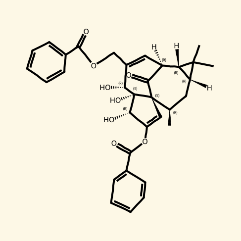 C[C@@H]1C[C@@H]2[C@H]([C@@H]3C=C(COC(=O)c4ccccc4)[C@@H](O)[C@]4(O)[C@@H](O)C(OC(=O)c5ccccc5)=C[C@@]14C3=O)C2(C)C